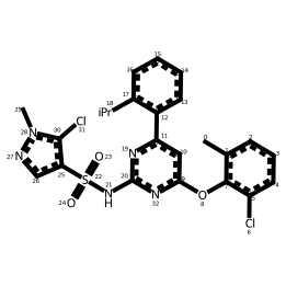 Cc1cccc(Cl)c1Oc1cc(-c2ccccc2C(C)C)nc(NS(=O)(=O)c2cnn(C)c2Cl)n1